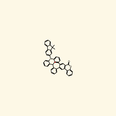 CC1(C)c2ccccc2-c2ccc(N(c3ccccc3)c3ccccc3C3CCc4cc5c(=O)oc6ccccc6c5cc4-c4ccccc43)cc21